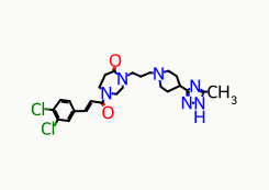 Cc1nc(C2CCN(CCCN3CCN(C(=O)C=Cc4ccc(Cl)c(Cl)c4)CCC3=O)CC2)n[nH]1